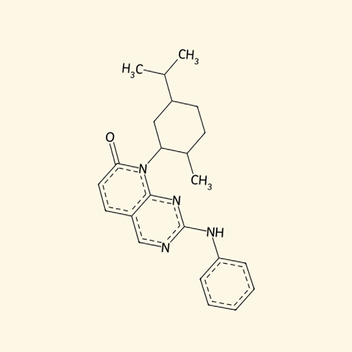 CC(C)C1CCC(C)C(n2c(=O)ccc3cnc(Nc4ccccc4)nc32)C1